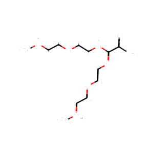 CCCCC(CC)C(OCCOCCOCCC)OCCOCCOCCC